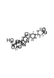 O=S1(=O)CC=C(c2ccc(-c3nc4nc(O[C@@H]5CO[C@H](CO)[C@H]5O)[nH]c4cc3Cl)cc2)CC1